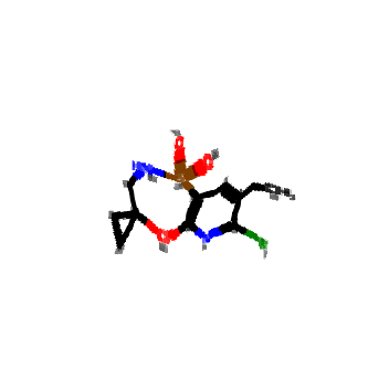 Cc1cc2c(nc1Br)OC1(CC1)CNS2(=O)=O